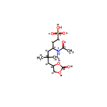 CC(=O)NC(CCS(=O)(=O)O)CC(C)(C)CC1COC(=O)O1